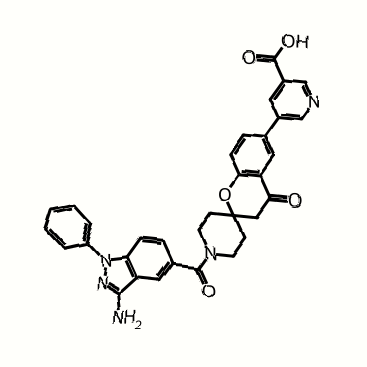 Nc1nn(-c2ccccc2)c2ccc(C(=O)N3CCC4(CC3)CC(=O)c3cc(-c5cncc(C(=O)O)c5)ccc3O4)cc12